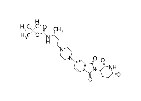 CC(CCN1CCN(c2ccc3c(c2)C(=O)N(C2CCC(=O)NC2=O)C3=O)CC1)NC(=O)OC(C)(C)C